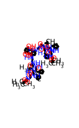 CC(C)C[C@H](NC(=O)[C@H](Cc1ccccc1)NC(=O)[C@H](Cc1ccccc1)NC(=O)CNC(=O)OC(C)(C)C)C(=O)NCCNc1ccc(NCCNC(=O)[C@H](CC(C)C)NC(=O)[C@H](Cc2ccccc2)NC(=O)[C@H](Cc2ccccc2)NC(=O)CNC(=O)OC(C)(C)C)c2c1C(=O)c1c(O)ccc(O)c1C2=O